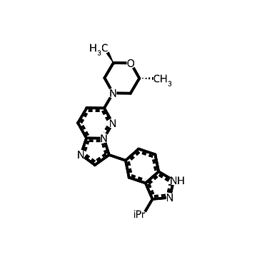 CC(C)c1n[nH]c2ccc(-c3cnc4ccc(N5C[C@@H](C)O[C@H](C)C5)nn34)cc12